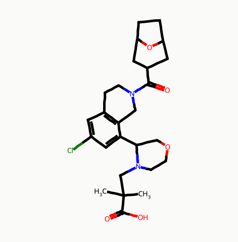 CC(C)(CN1CCOCC1c1cc(Cl)cc2c1CN(C(=O)C1CC3CCC(C1)O3)CC2)C(=O)O